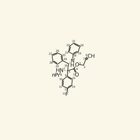 C#CCOC(=O)[C@@](NCCC)(c1ccc(F)cc1)[C@@H](Nc1ccccc1)c1ccccc1